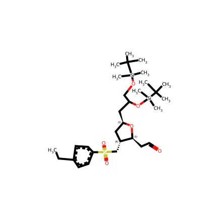 CCc1ccc(S(=O)(=O)C[C@@H]2C[C@@H](CC(CO[Si](C)(C)C(C)(C)C)O[Si](C)(C)C(C)(C)C)O[C@H]2CC=O)cc1